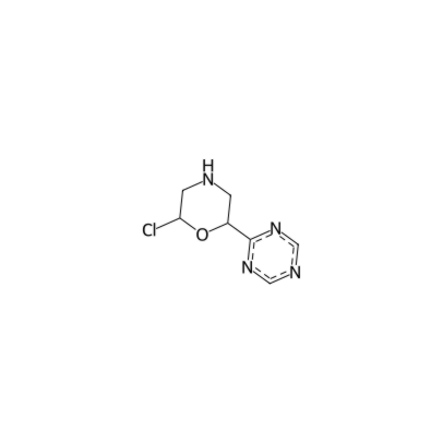 ClC1CNCC(c2ncncn2)O1